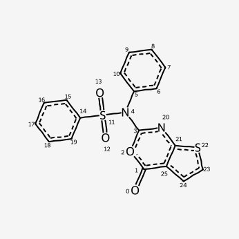 O=c1oc(N(c2ccccc2)S(=O)(=O)c2ccccc2)nc2sccc12